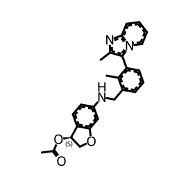 CC(=O)O[C@@H]1COc2cc(NCc3cccc(-c4c(C)nc5ccccn45)c3C)ccc21